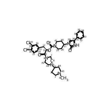 CN1CCC(N2CCN(C(=O)[C@@H](Cc3ccc(Cl)c(Cl)c3)OC(=O)N3CCC(n4cc(-c5ccccc5)[nH]c4=O)CC3)CC2)CC1